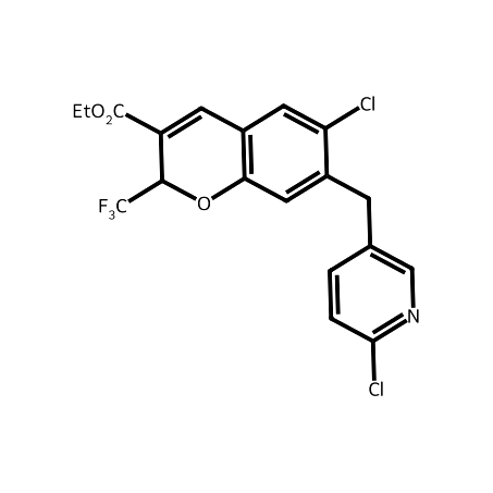 CCOC(=O)C1=Cc2cc(Cl)c(Cc3ccc(Cl)nc3)cc2OC1C(F)(F)F